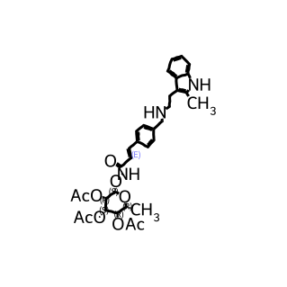 CC(=O)O[C@@H]1[C@@H](OC(C)=O)[C@H](ONC(=O)/C=C/c2ccc(CNCCc3c(C)[nH]c4ccccc34)cc2)O[C@H](C)[C@H]1OC(C)=O